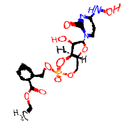 CCOC(=O)c1ccccc1COP1(=O)OC[C@H]2O[C@@H](n3ccc(NO)nc3=O)[C@H](O)[C@@H]2O1